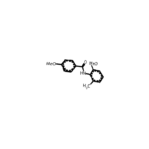 COc1ccc(C(=O)Nc2c(C)cccc2OC)cc1